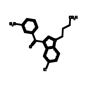 O=C(O)CCCn1cc(C(=O)c2cccc([N+](=O)[O-])c2)c2cc(Cl)ccc21